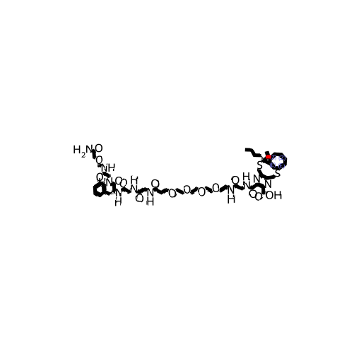 CCCC[C@@]1(CC)SCc2nc(C(=O)NCC(=O)NCCOCCOCCOCCOCCC(=O)NCC(=O)NCC(=O)N[C@@H](Cc3ccccc3)C(=O)NCC(=O)NCOCC(N)=O)c(C(=O)O)nc2CSC2=C/C=C\C=C/C1=C\2